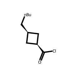 CCCCC[C@H]1C[C@@H](C(=O)Cl)C1